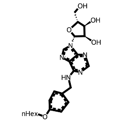 CCCCCCOc1ccc(CNc2ncnc3c2ncn3[C@@H]2O[C@H](CO)[C@@H](O)[C@H]2O)cc1